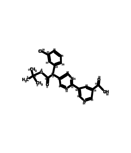 CC(C)(C)OC(=O)N(c1cnc(-c2cncc(C(=O)O)c2)nc1)c1cccc(Cl)c1